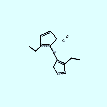 CCC1=[C]([Ti+2][C]2=C(CC)C=CC2)CC=C1.[Cl-].[Cl-]